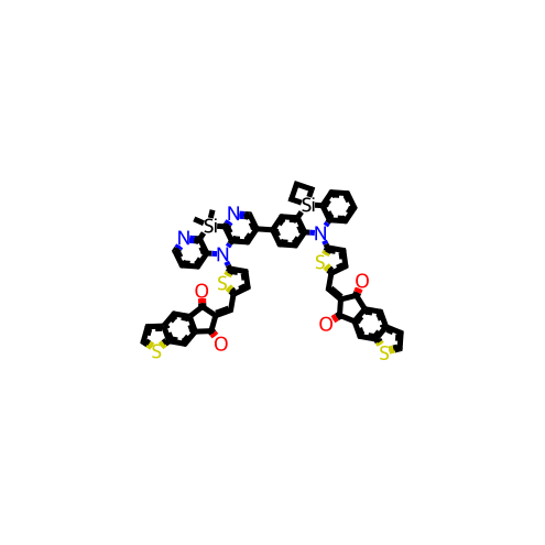 C[Si]1(C)c2ncccc2N(c2ccc(/C=C3\C(=O)c4cc5ccsc5cc4C3=O)s2)c2cc(-c3ccc4c(c3)[Si]3(CCC3)c3ccccc3N4c3ccc(/C=C4\C(=O)c5cc6ccsc6cc5C4=O)s3)cnc21